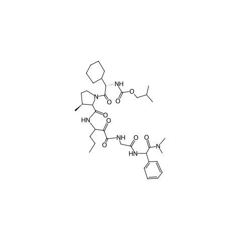 CCCC(NC(=O)C1[C@@H](C)CCN1C(=O)[C@@H](NC(=O)OCC(C)C)C1CCCCC1)C(=O)C(=O)NCC(=O)NC(C(=O)N(C)C)c1ccccc1